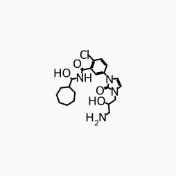 NCC(O)Cn1ccn(-c2ccc(Cl)c(C(=O)NC(O)C3CCCCCC3)c2)c1=O